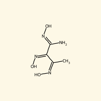 CC(=N/O)/C(=N\O)C(/N)=N/O